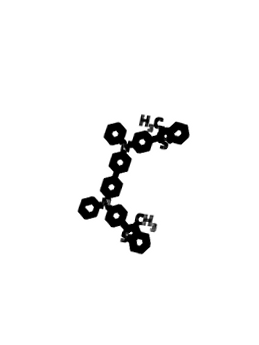 Cc1c(-c2ccc(N(c3ccccc3)c3ccc(-c4ccc(N(c5ccc(-c6sc7ccccc7c6C)cc5)C5C=CC=CC5)cc4)cc3)cc2)sc2ccccc12